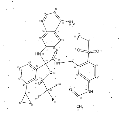 CCS(=O)(=O)c1ccc(NC(C)=O)cc1CNC(=O)C(Nc1ccc2c(N)nccc2c1)(OC(=O)C(F)(F)F)c1cccc(C2CC2)c1